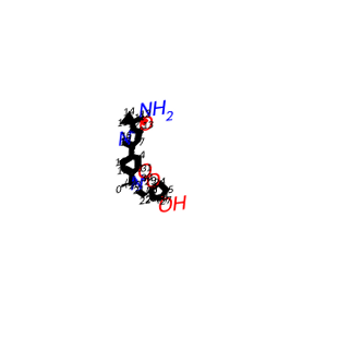 C[C@@H](c1ccc(-c2ccc(C3(C(N)=O)CC3)nc2)cc1)N1CC[C@@]2(CC[C@@H](O)C2)OC1=O